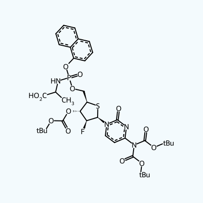 CC(NP(=O)(OC[C@H]1S[C@@H](n2ccc(N(C(=O)OC(C)(C)C)C(=O)OC(C)(C)C)nc2=O)[C@@H](F)[C@@H]1OC(=O)OC(C)(C)C)Oc1cccc2ccccc12)C(=O)O